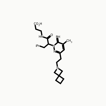 B=C1C(C)=CC(CCN2CC3(CCC3)C2)=NN1C(CC(C)C)C(=O)NCCC(=O)O